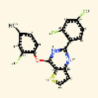 N#Cc1ccc(Oc2nc(-c3ccc(F)cc3F)nc3ccsc23)c(F)c1